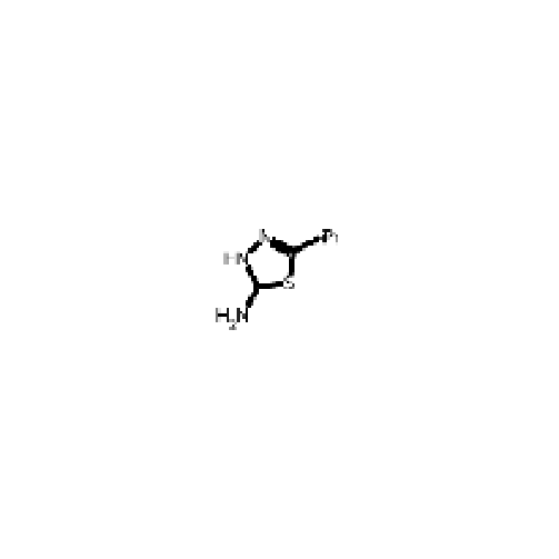 CC(C)C1=NNC(N)S1